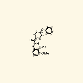 COc1cccc(CNC(=O)N2CCC(Oc3ccncc3)CC2)c1OC